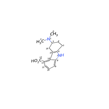 CN(C)C1CCc2[nH]c3cccc(C(=O)O)c3c2C1